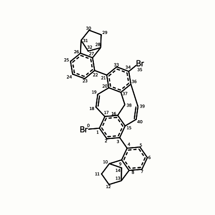 Brc1cc(-c2cccc3c2C2CCC3C2)c2c3c1C=Cc1c(-c4cccc5c4C4CCC5C4)cc(Br)c(c1C3)C=C2